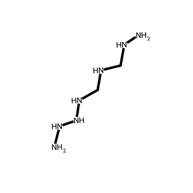 NNCNCNNNN